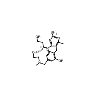 CCC[C@@H](CCO)Nc1nc(N)nc(C)c1Cc1ccc(CN(C)CCO)cc1O